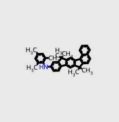 Cc1cc(C)c(Nc2ccc3c(c2)C(C)(C)c2cc4c(cc2-3)C(C)(C)c2ccc3ccccc3c2-4)c(C)c1